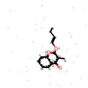 CCC=COc1oc2ccccc2c(=O)c1C